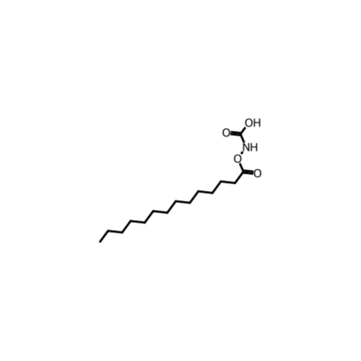 CCCCCCCCCCCCCC(=O)ONC(=O)O